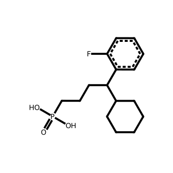 O=P(O)(O)CCCC(c1ccccc1F)C1CCCCC1